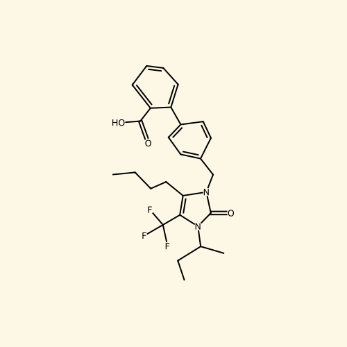 CCCCc1c(C(F)(F)F)n(C(C)CC)c(=O)n1Cc1ccc(-c2ccccc2C(=O)O)cc1